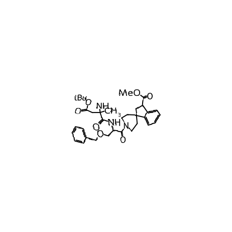 COC(=O)C1CC2(CCN(C(=O)C(COCc3ccccc3)NC(=O)C(C)(N)CC(=O)OC(C)(C)C)CC2)c2ccccc21